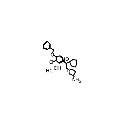 Cl.Cl.N[C@H]1CCN(CC(c2ccc(OCc3ccccc3)c(Cl)c2)C2(O)CCCCC2)C1